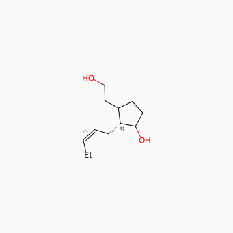 CC/C=C\C[C@H]1C(O)CCC1CCO